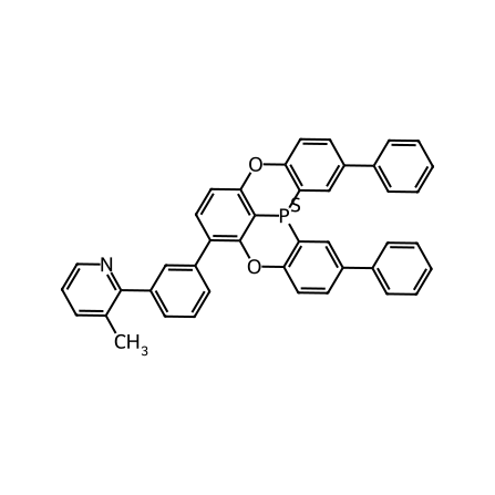 Cc1cccnc1-c1cccc(-c2ccc3c4c2Oc2ccc(-c5ccccc5)cc2P4(=S)c2cc(-c4ccccc4)ccc2O3)c1